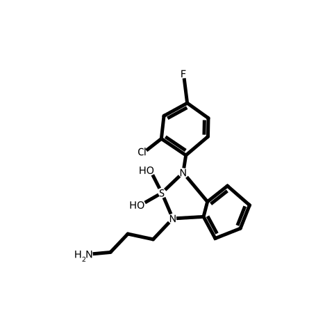 NCCCN1c2ccccc2N(c2ccc(F)cc2Cl)S1(O)O